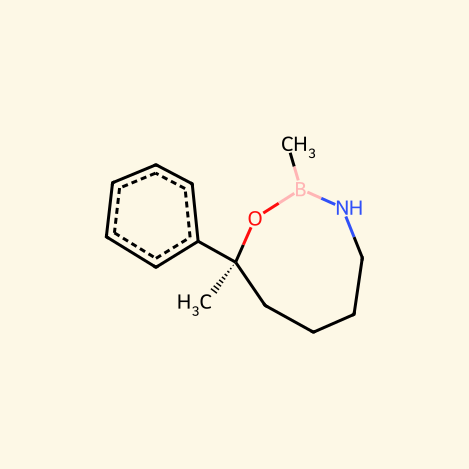 CB1NCCCC[C@@](C)(c2ccccc2)O1